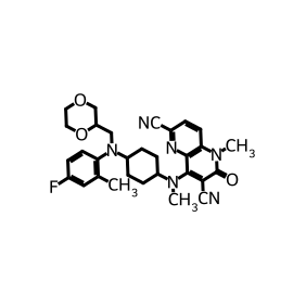 Cc1cc(F)ccc1N(CC1COCCO1)C1CCC(N(C)c2c(C#N)c(=O)n(C)c3ccc(C#N)nc23)CC1